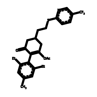 CCc1cc(C)cc(CC)c1C1=C(OC(C)=O)CC(CCSc2ccc(C(F)(F)F)cn2)CC1=O